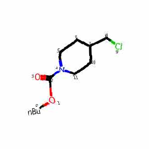 CCCCOC(=O)N1CCC(CCl)CC1